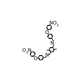 Cc1cc(CN=Cc2ccc(Oc3ccc([N+](=O)[O-])cc3)cc2)c(C)cc1CN=Cc1ccc(Oc2ccc([N+](=O)[O-])cc2)cc1